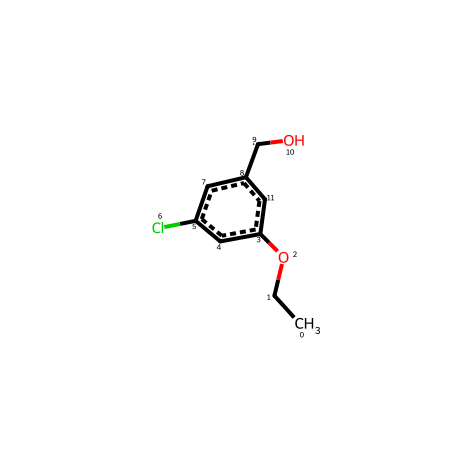 CCOc1cc(Cl)cc([CH]O)c1